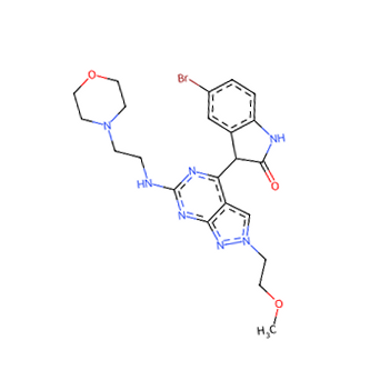 COCCn1cc2c(C3C(=O)Nc4ccc(Br)cc43)nc(NCCN3CCOCC3)nc2n1